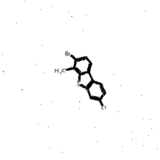 Cc1c(Br)ccc2c1sc1cc(Cl)ccc12